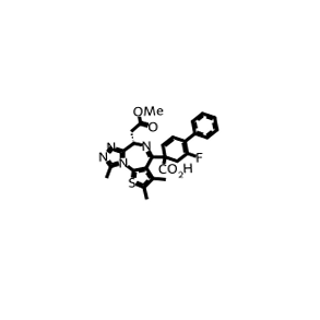 COC(=O)C[C@@H]1N=C(C2(C(=O)O)C=CC(c3ccccc3)=C(F)C2)c2c(sc(C)c2C)-n2c(C)nnc21